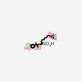 CC(=O)N(OC(=O)CCCCCc1sc(-c2c(C)c3cc(Cl)c(O)cc3oc2=O)cc1S(=O)(=O)O)C(C)=O